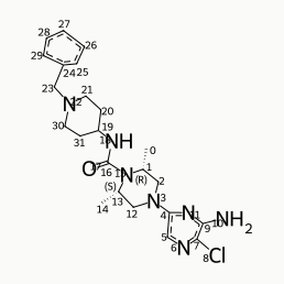 C[C@@H]1CN(c2cnc(Cl)c(N)n2)C[C@H](C)N1C(=O)NC1CCN(Cc2ccccc2)CC1